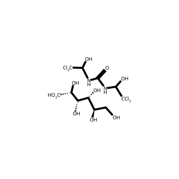 O=C(NC(O)C(Cl)(Cl)Cl)NC(O)C(Cl)(Cl)Cl.O=C(O)[C@H](O)[C@@H](O)[C@H](O)[C@H](O)CO